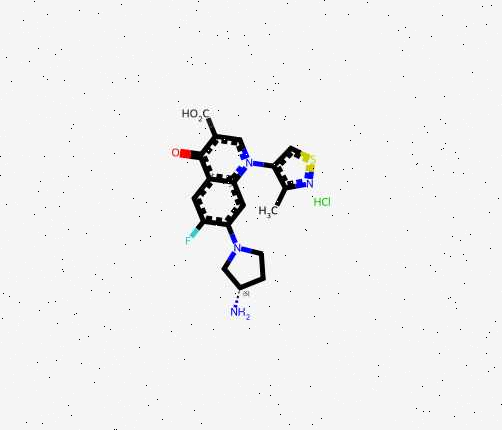 Cc1nscc1-n1cc(C(=O)O)c(=O)c2cc(F)c(N3CC[C@H](N)C3)cc21.Cl